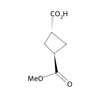 COC(=O)[C@H]1C[C@H](C(=O)O)C1